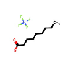 CCCCCCCCC(=O)[O-].F[N+](F)(F)F